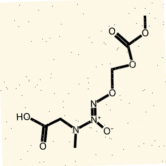 COC(=O)OCON=[N+]([O-])N(C)CC(=O)O